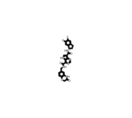 O=C1COc2ccc(CNC(=O)c3ncnc4c(C(=O)N[C@H]5CCc6cc(F)c(F)cc65)c[nH]c34)cc2N1